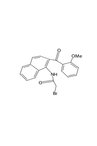 COc1ccccc1C(=O)c1ccc2ccccc2c1NC(=O)CBr